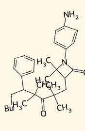 CC(C)(C)CC(c1ccccc1)C(C)(C)C(=O)C(C)(C)CC1C(=O)N(c2ccc(N)cc2)C1(C)C